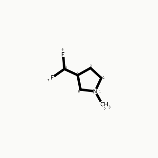 CN1CCC(C(F)F)C1